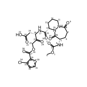 COC(=O)N[C@H]1CCC(=O)N2CCC[C@@H](C(=O)N[C@@H](CC(=O)O)C(=O)COC(=O)c3sccc3Cl)N2C1=O